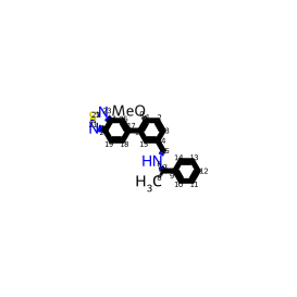 COc1ccc(CN[C@H](C)c2ccccc2)cc1-c1ccc2nsnc2c1